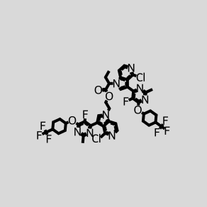 CCC(C(=O)OCCn1cc(-c2nc(C)nc(OC3CCC(C(F)(F)F)CC3)c2F)c2c(Cl)nccc21)n1cc(-c2nc(C)nc(OC3CCC(C(F)(F)F)CC3)c2F)c2c(Cl)nccc21